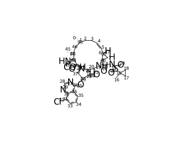 C[C@@H]1CCC=C[C@@H]2C[C@@]2(C(=O)NS(=O)(=O)C2(C)CC2)NC(=O)[C@@H]2C[C@@H](Oc3ncnc4c(Cl)cccc34)CN2C(=O)[C@@H](NC(=O)O)[C@H](C)C1